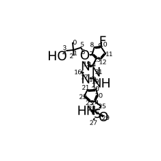 CC(C)(CO)COc1cc(F)ccc1-c1ncnc(Nc2cccc(CS(C)(=N)=O)c2)n1